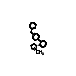 CN1CCC[C@@H]1c1ccccc1C1=CCN(Cc2ccccc2)CC1